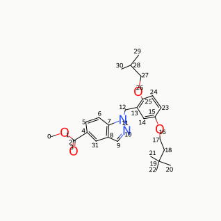 COC(=O)c1ccc2c(cnn2Cc2cc(OCCC(C)(C)C)ccc2OCC(C)C)c1